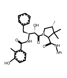 CCCNC(=O)C1N(C(=O)[C@@H](O)[C@H](Cc2ccccc2)NC(=O)c2cccc(O)c2C)C[C@H](C)C1(C)C